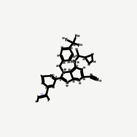 C/C=C(\C)c1ccnc(-c2nc3nc(C#N)nc(NC(C)C4CCC4)c3n2Cc2ccc(C(F)(F)F)cc2)c1